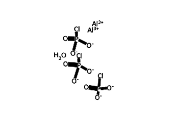 O.O=P([O-])([O-])Cl.O=P([O-])([O-])Cl.O=P([O-])([O-])Cl.[Al+3].[Al+3]